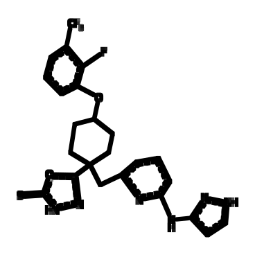 Fc1c(OC2CCC(Cc3cccc(Nc4cc[nH]n4)n3)(c3n[nH]c(=S)o3)CC2)cccc1C(F)(F)F